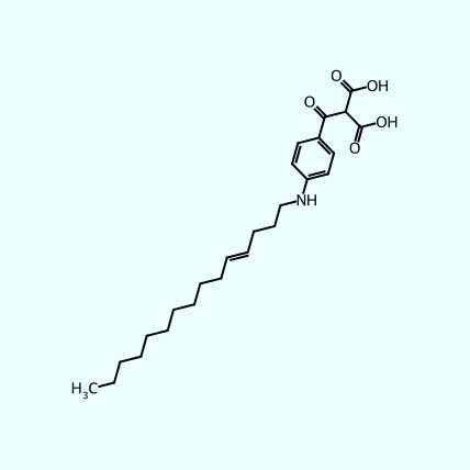 CCCCCCCCCC/C=C/CCCNc1ccc(C(=O)C(C(=O)O)C(=O)O)cc1